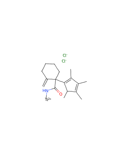 C=C1CCCCC1(C(=O)[NH][Ti+2])C1=C(C)C(C)=C(C)C1C.[Cl-].[Cl-]